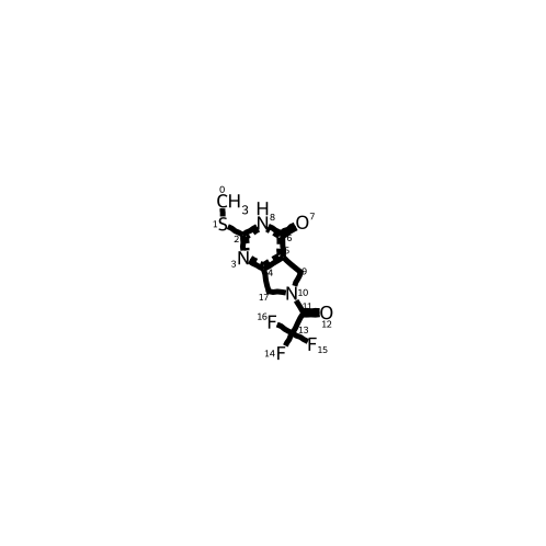 CSc1nc2c(c(=O)[nH]1)CN(C(=O)C(F)(F)F)C2